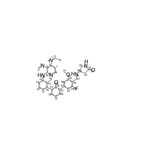 C=Nc1c(/N=C\C)ccnc1Nc1cccc(-c2cccc(-c3cc(F)c(CN[C@@H]4CNC(=O)C4)c(OC)c3)c2Cl)c1C